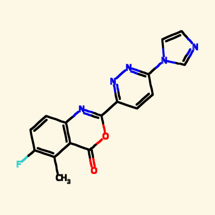 Cc1c(F)ccc2nc(-c3ccc(-n4ccnc4)nn3)oc(=O)c12